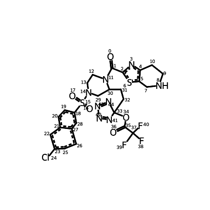 O=C(c1nc2c(s1)CNCC2)N1CCN(S(=O)(=O)c2ccc3cc(Cl)ccc3c2)CC1CCC1(OC(=O)C(F)(F)F)N=NN=N1